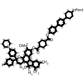 CCCCCC1CCC(c2ccc(-c3ccc(OC(=O)C4CCC(C(=O)Oc5cc6c7c(c8c(c6cc5OC)OC(c5ccc(F)cc5)(c5ccc(N6CCCCC6)cc5)C=C8)C(C)(C)c5c-7cc(C)cc5C(F)(F)F)CC4)cc3)cc2)CC1